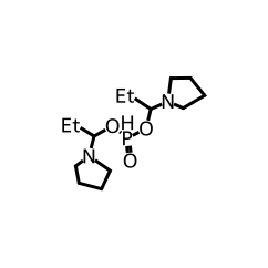 CCC(O[PH](=O)OC(CC)N1CCCC1)N1CCCC1